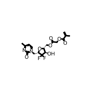 C=C(C)C(=O)OCC(=O)OC[C@H]1O[C@@H](Cn2ccc(C)nc2=O)C(F)(F)[C@@H]1O